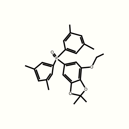 CCOc1cc(P(=O)(c2cc(C)cc(C)c2)c2cc(C)cc(C)c2)cc2c1OC(C)(C)O2